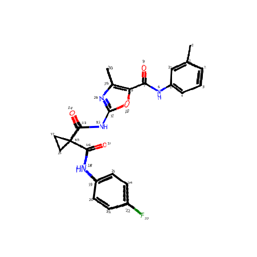 Cc1cccc(NC(=O)c2oc(NC(=O)C3(C(=O)Nc4ccc(F)cc4)CC3)nc2C)c1